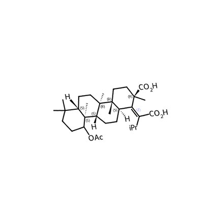 CC(=O)OC1CCC(C)(C)[C@@H]2CC[C@]3(C)[C@H](CC[C@@H]4/C(=C(/C(=O)O)C(C)C)[C@](C)(C(=O)O)CC[C@]43C)[C@@]12C